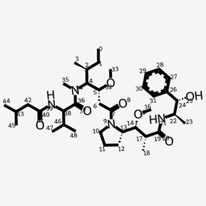 CC[C@H](C)C([C@@H](CC(=O)N1CCC[C@H]1[C@H](OC)[C@@H](C)C(=O)N[C@H](C)[C@@H](O)c1ccccc1)OC)N(C)C(=O)C(NC(=O)CC(C)C)C(C)C